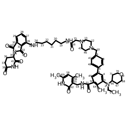 CCN(c1cc(-c2ccc(CN3CCN(CC(=O)NCCCCCCNc4cccc5c4C(=O)N(C4CCC(=O)NC4=O)C5=O)CC3)cc2)cc(C(=O)NCc2c(C)cc(C)[nH]c2=O)c1C)C1CCOCC1